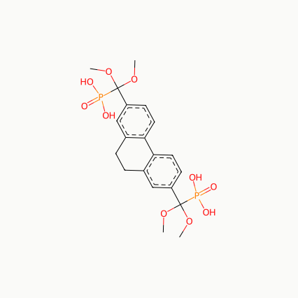 COC(OC)(c1ccc2c(c1)CCc1cc(C(OC)(OC)P(=O)(O)O)ccc1-2)P(=O)(O)O